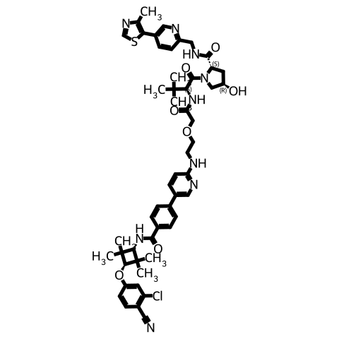 Cc1ncsc1-c1ccc(CNC(=O)[C@@H]2C[C@@H](O)CN2C(=O)[C@@H](NC(=O)COCCNc2ccc(-c3ccc(C(=O)N[C@H]4C(C)(C)[C@H](Oc5ccc(C#N)c(Cl)c5)C4(C)C)cc3)cn2)C(C)(C)C)nc1